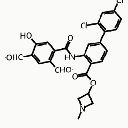 CN1CC(OC(=O)c2ccc(-c3ccc(Cl)cc3Cl)cc2NC(=O)c2cc(O)c([C]=O)cc2[C]=O)C1